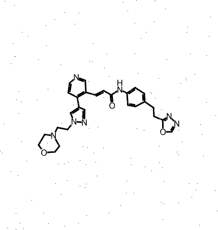 O=C(C=Cc1cnccc1-c1cnn(CCN2CCOCC2)c1)Nc1ccc(CCc2nnco2)cc1